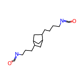 O=C=NCCCCC1CC2CC1CC2CCCN=C=O